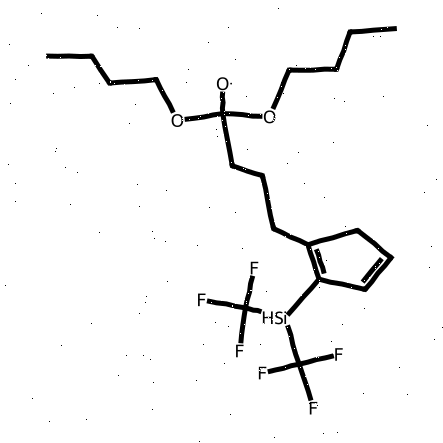 CCCCOC([O])(CCCC1=C([SiH](C(F)(F)F)C(F)(F)F)C=CC1)OCCCC